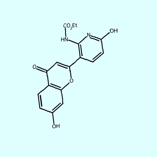 CCOC(=O)Nc1nc(O)ccc1-c1cc(=O)c2ccc(O)cc2o1